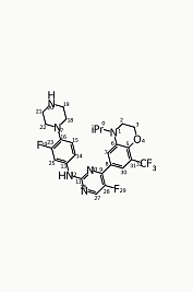 CC(C)N1CCOc2c1cc(-c1nc(Nc3ccc(N4CCNCC4)c(F)c3)ncc1F)cc2C(F)(F)F